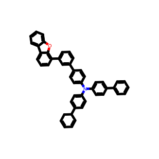 C1=CCC(c2ccc(N(c3ccc(-c4ccccc4)cc3)c3ccc(-c4cccc(-c5cccc6c5oc5ccccc56)c4)cc3)cc2)C=C1